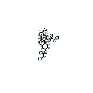 CC(=O)C1=CC[C@H]2[C@@H]3CCC4CC(OC(=O)CCl)CC[C@]4(C)[C@H]3C(OC(=O)CCl)C[C@]12C